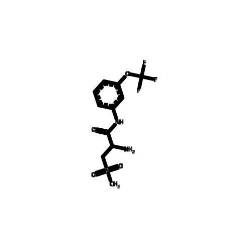 CS(=O)(=O)CC(N)C(=O)Nc1cccc(OC(F)(F)F)c1